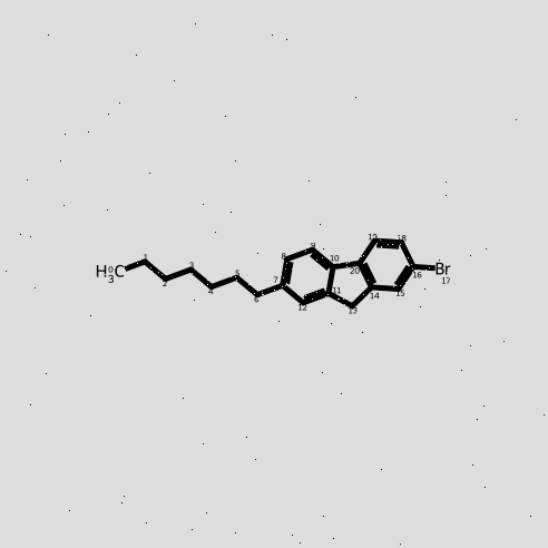 CCCC[CH]CCc1ccc2c(c1)Cc1cc(Br)ccc1-2